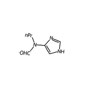 CCCN([C]=O)c1c[nH]cn1